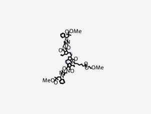 C=CC1CC(/C=C\C2CC(/C=C\C3CC(C=C)C4C(=O)N(Cc5cn(C(CC(C)(C)C(=O)OC)c6ccccc6)nn5)C(=O)C34)C3C(=O)N(CCCCCC(=O)OCCOC)C(=O)C23)C2C(=O)N(Cc3cn(C(CC(C)(C)C(=O)OC)c4ccccc4)nn3)C(=O)C12